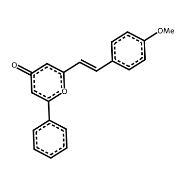 COc1ccc(C=Cc2cc(=O)cc(-c3ccccc3)o2)cc1